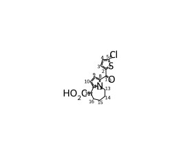 O=C(c1ccc(Cl)s1)c1ccc2n1CCCCC2C(=O)O